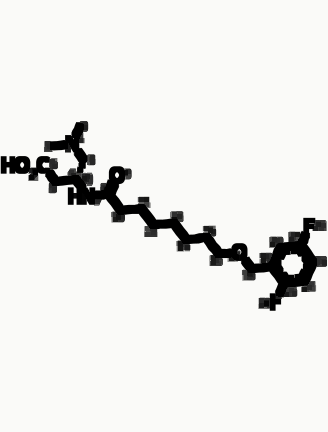 CN(C)C[C@@H](CC(=O)O)NC(=O)CCCCCCCOCc1cc(F)ccc1F